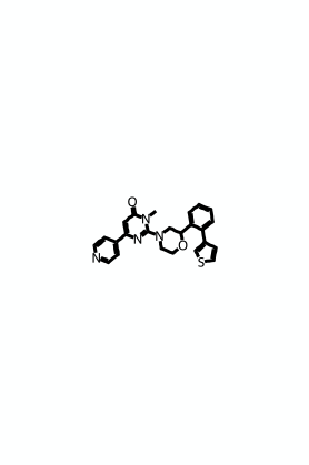 Cn1c(N2CCOC(c3ccccc3-c3ccsc3)C2)nc(-c2ccncc2)cc1=O